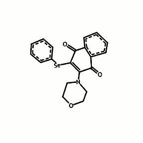 O=C1C([Se]c2ccccc2)=C(N2CCOCC2)C(=O)c2ccccc21